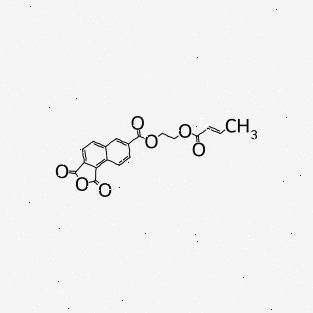 CC=CC(=O)OCCOC(=O)c1ccc2c3c(ccc2c1)C(=O)OC3=O